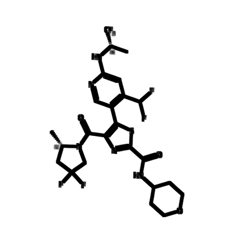 C[C@H](Nc1cc(C(F)F)c(-c2sc(C(=O)NC3CCOCC3)nc2C(=O)N2CC(F)(F)C[C@@H]2C)cn1)C(F)(F)F